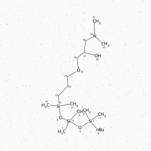 CCCC[Si](C)(C)O[Si](C)(C)O[Si](C)(C)CCCOCC(O)CN(C)C